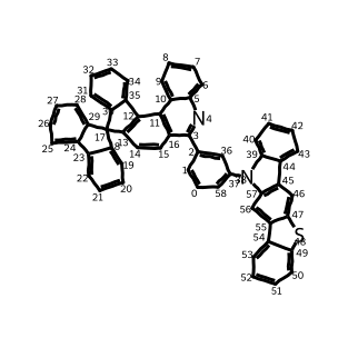 c1cc(-c2nc3ccccc3c3c4c(ccc23)C2(c3ccccc3-c3ccccc32)c2ccccc2-4)cc(-n2c3ccccc3c3cc4sc5ccccc5c4cc32)c1